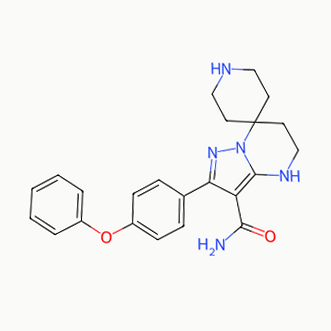 NC(=O)c1c(-c2ccc(Oc3ccccc3)cc2)nn2c1NCCC21CCNCC1